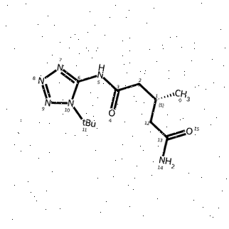 C[C@@H]([CH]C(=O)Nc1nnnn1C(C)(C)C)CC(N)=O